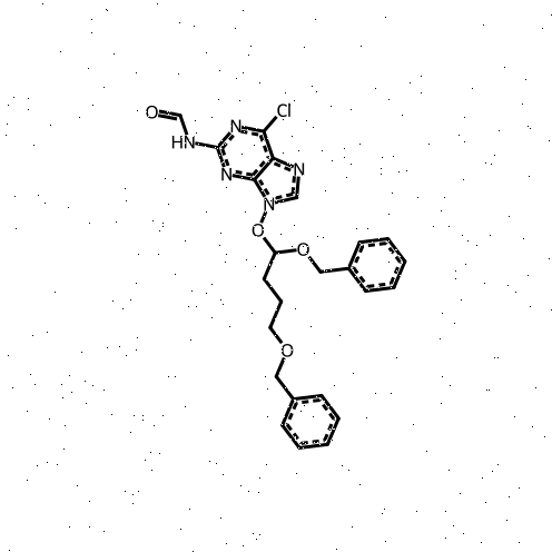 O=CNc1nc(Cl)c2ncn(OC(CCCOCc3ccccc3)OCc3ccccc3)c2n1